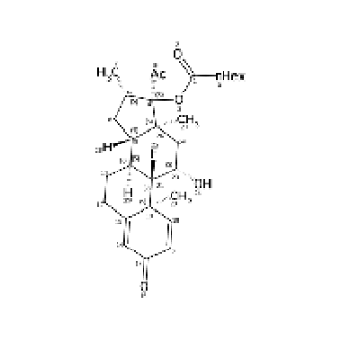 CCCCCCC(=O)O[C@]1(C(C)=O)[C@@H](C)C[C@H]2[C@@H]3CCC4=CC(=O)C=C[C@]4(C)[C@@]3(F)[C@@H](O)C[C@@]21C